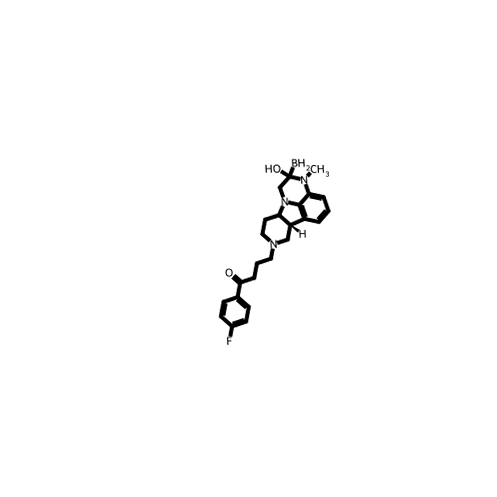 BC1(O)CN2c3c(cccc3N1C)[C@@H]1CN(CCCC(=O)c3ccc(F)cc3)CCC12